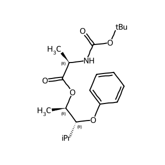 CC(C)[C@@H](Oc1ccccc1)[C@@H](C)OC(=O)[C@@H](C)NC(=O)OC(C)(C)C